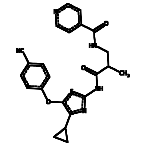 CC(CNC(=O)c1ccncc1)C(=O)Nc1nc(C2CC2)c(Oc2ccc(C#N)cc2)s1